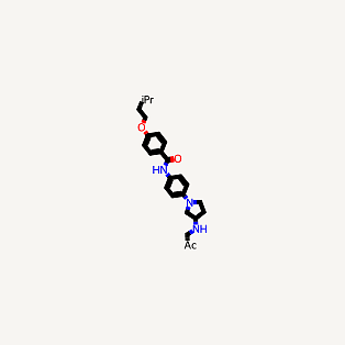 CC(=O)CNC1CCN(c2ccc(NC(=O)c3ccc(OCCC(C)C)cc3)cc2)C1